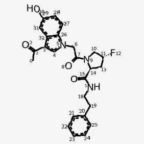 CC(=O)c1cn(CC(=O)N2C[C@H](F)C[C@H]2C(=O)NCCc2ccccc2)c2ccc(O)cc12